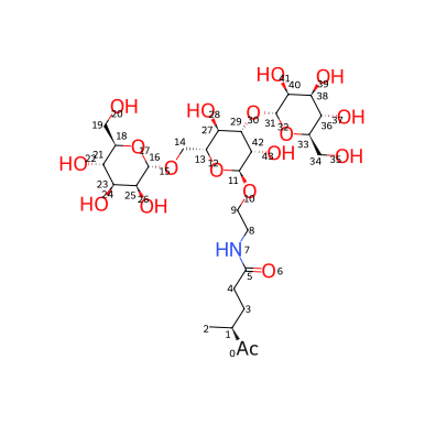 CC(=O)[C@@H](C)CCC(=O)NCCO[C@H]1O[C@H](CO[C@H]2O[C@H](CO)[C@@H](O)[C@H](O)[C@@H]2O)[C@@H](O)[C@H](O[C@H]2O[C@H](CO)[C@@H](O)[C@H](O)[C@@H]2O)[C@@H]1O